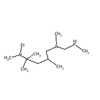 CCN(C)C(C)(C)CC(C)CN(C)CPC